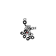 CN(C(=O)OC1c2ccccc2-c2ccccc21)C(C(=O)N1C[C@H](O)C[C@H]1C(=O)NCc1ccc(Cl)cc1)C(C)(C)SC(c1ccccc1)(c1ccccc1)c1ccccc1